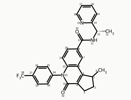 CC1CCc2c1c1cc(C(=O)N[C@@H](C)c3ccccn3)ccc1n(-c1ccc(C(F)(F)F)cc1)c2=O